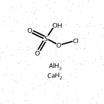 O=S(=O)(O)OCl.[AlH3].[CaH2]